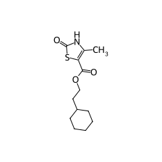 Cc1[nH]c(=O)sc1C(=O)OCCC1CCCCC1